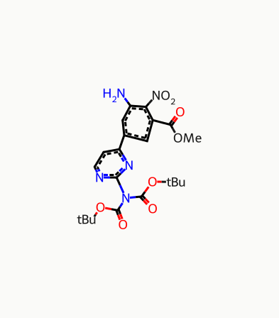 COC(=O)c1cc(-c2ccnc(N(C(=O)OC(C)(C)C)C(=O)OC(C)(C)C)n2)cc(N)c1[N+](=O)[O-]